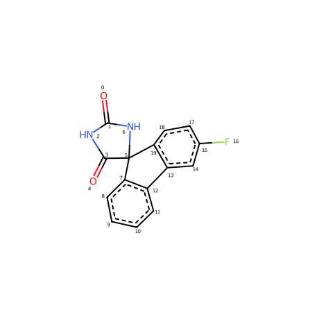 O=C1NC(=O)C2(N1)c1ccccc1-c1cc(F)ccc12